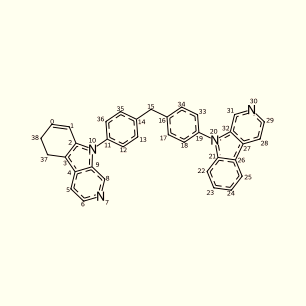 C1=Cc2c(c3ccncc3n2-c2ccc(Cc3ccc(-n4c5ccccc5c5ccncc54)cc3)cc2)CC1